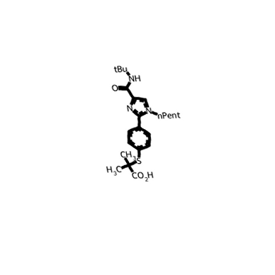 CCCCCn1cc(C(=O)NC(C)(C)C)nc1-c1ccc(SC(C)(C)C(=O)O)cc1